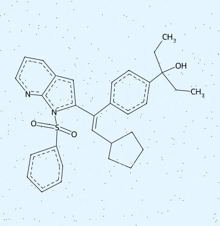 CCC(O)(CC)c1ccc(/C(=C\C2CCCC2)c2cc3cccnc3n2S(=O)(=O)c2ccccc2)cc1